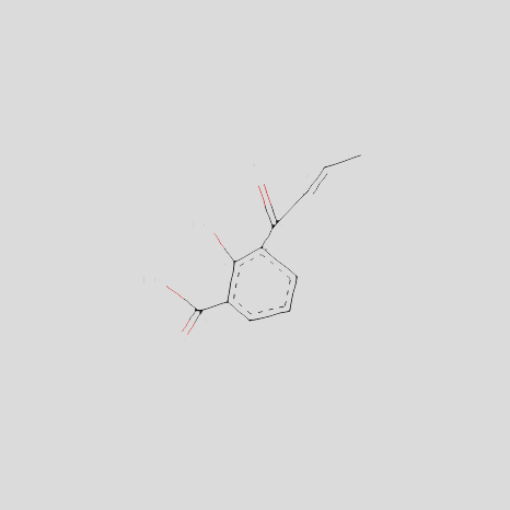 C/C=C/C(=O)c1cccc(C(=O)O)c1O